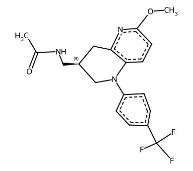 COc1ccc2c(n1)C[C@H](CNC(C)=O)CN2c1ccc(C(F)(F)F)cc1